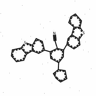 N#Cc1c(-c2ccc3sc4ccccc4c3c2)cc(-c2ccccc2)cc1-c1ccc2sc3ccccc3c2c1